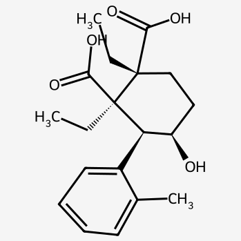 CC[C@@]1(C(=O)O)CC[C@@H](O)[C@@H](c2ccccc2C)[C@@]1(CC)C(=O)O